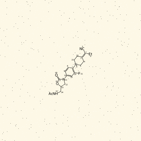 CCC(C#N)=C1CCN(c2ccc(N3CC(CNC(C)=O)OC3=O)cc2F)CC1